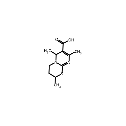 CC1=C(C(=O)O)C(C)N2CCC(C)SC2=N1